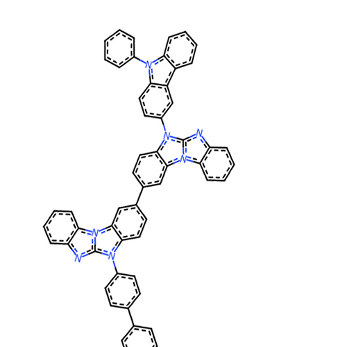 c1ccc(-c2ccc(-n3c4ccc(-c5ccc6c(c5)n5c7ccccc7nc5n6-c5ccc6c(c5)c5ccccc5n6-c5ccccc5)cc4n4c5ccccc5nc34)cc2)cc1